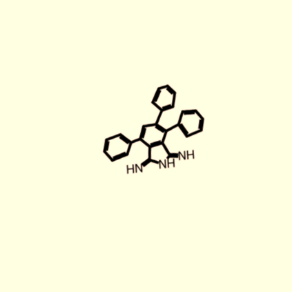 N=C1NC(=N)c2c1c(-c1ccccc1)cc(-c1ccccc1)c2-c1ccccc1